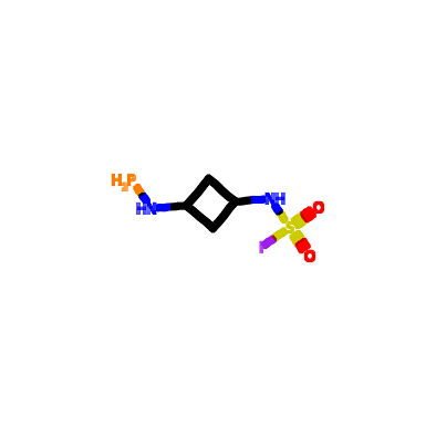 O=S(=O)(I)NC1CC(NP)C1